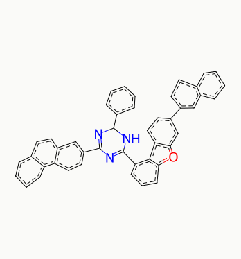 c1ccc(C2N=C(c3ccc4c(ccc5ccccc54)c3)N=C(c3cccc4oc5cc(-c6ccc7ccccc7c6)ccc5c34)N2)cc1